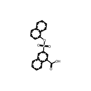 O=C(O)c1cc(S(=O)(=O)Oc2cccc3ccccc23)cc2ccccc12